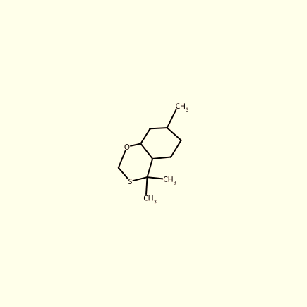 CC1CCC2C(C1)OCSC2(C)C